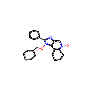 [O-][n+]1cc2nc(-c3ccccc3)n(OCc3ccccc3)c2c2ccccc21